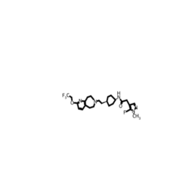 Cn1ncc(CC(=O)N[C@H]2CC[C@H](CCN3CCc4ccc(OCC(F)(F)F)nc4CC3)CC2)c1F